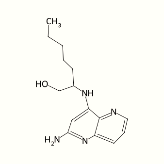 CCCCCC(CO)Nc1cc(N)nc2cccnc12